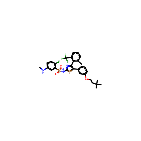 CNc1ccc(F)c(S(=O)(=O)Nc2nc(-c3c(C)cccc3C(F)(F)F)c(-c3cccc(OCCC(C)(C)C)c3)s2)c1